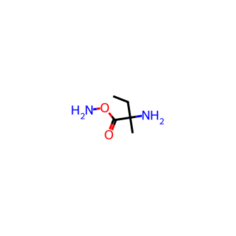 CCC(C)(N)C(=O)ON